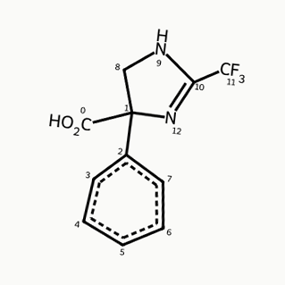 O=C(O)C1(c2ccccc2)CNC(C(F)(F)F)=N1